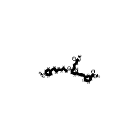 COC(=O)CCc1nc(C#Cc2cccc(C(=O)OC)c2)ccc1OCCCC/C=C/c1ccc(OC)cc1